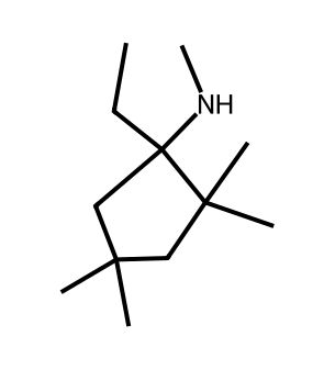 CCC1(NC)CC(C)(C)CC1(C)C